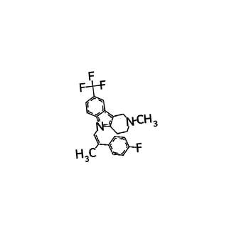 C/C(=C/n1c2c(c3cc(C(F)(F)F)ccc31)CN(C)CC2)c1ccc(F)cc1